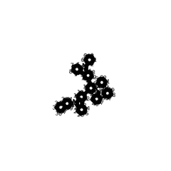 c1ccc(-n2c3ccccc3c3cc(-c4cc(-c5ccc6c(c5)c5ccccc5n6-c5ccc6ccccc6c5)cc([Si](c5ccccc5)(c5ccccc5)c5ccccc5)c4)ccc32)cc1